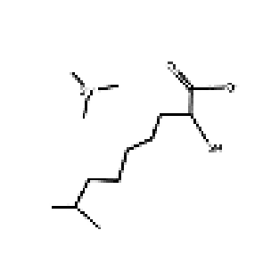 CC(C)CCCCCC(S)C(=O)[O-].[CH3][Sn+]([CH3])[CH3]